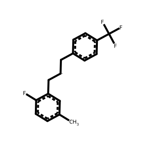 Cc1ccc(F)c(C[CH]Cc2ccc(C(F)(F)F)cc2)c1